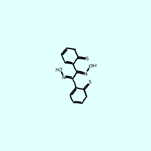 ON=C(C1=CC=CCC1=S)C(=NO)C1=CC=CCC1=S